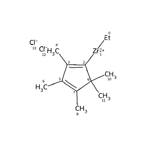 C[CH2][Zr+2][C]1=C(C)C(C)=C(C)C1(C)C.[Cl-].[Cl-]